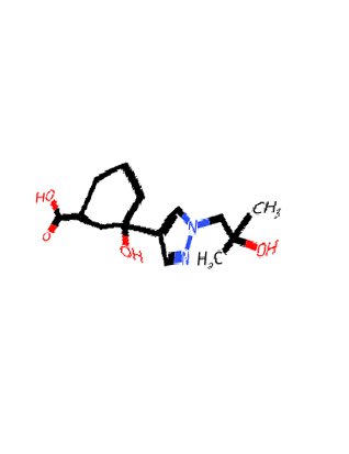 CC(C)(O)Cn1cc(C2(O)CCCC(C(=O)O)C2)cn1